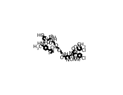 COc1ncc(C(=O)NCCOCCOCCC(=O)N[C@H](C(=O)N2C[C@H](O)C[C@H]2C(=O)N[C@@H](C)c2ccc(-c3scnc3C)cc2)C(C)(C)C)cc1-c1nc2c(n1C(C)C)[C@H](c1ccc(Cl)cc1)N(c1cc(Cl)cn(C)c1=O)C2=O